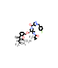 CCC(CCC(C)C(F)(F)F)c1cccc(COC[C@@H]2CN(C(=O)c3cnn(Cc4ccc(F)cc4)c3)CC23CN(C(=O)C2(C(F)(F)F)CC2)C3)c1OC(C)(C)C(=O)O